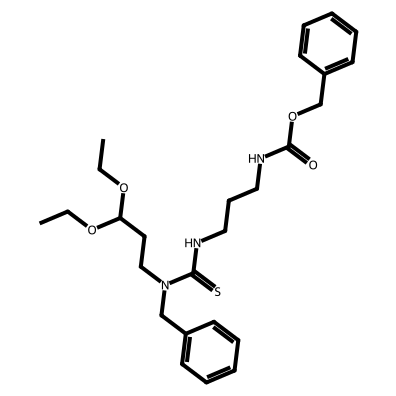 CCOC(CCN(Cc1ccccc1)C(=S)NCCCNC(=O)OCc1ccccc1)OCC